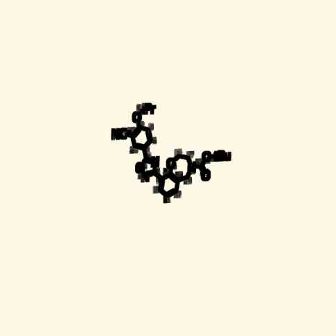 CC(C)Oc1ccc(-c2nc(-c3cccc4c3OCCN(C(=O)OC(C)(C)C)C4)no2)cc1C#N